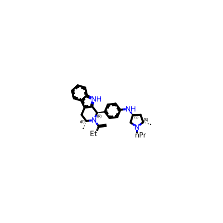 C=C(CC)N1[C@H](c2ccc(N[C@H]3C[C@H](C)N(CCC)C3)cc2)c2[nH]c3ccccc3c2C[C@H]1C